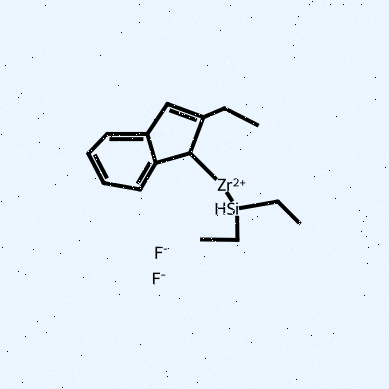 CCC1=Cc2ccccc2[CH]1[Zr+2][SiH](CC)CC.[F-].[F-]